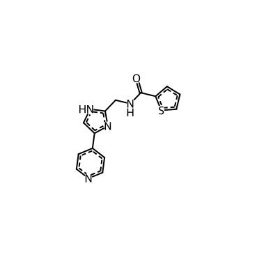 O=C(NCc1nc(-c2ccncc2)c[nH]1)c1cccs1